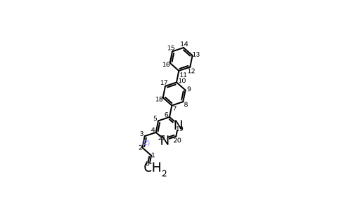 C=C/C=C\c1cc(-c2ccc(-c3ccccc3)cc2)ncn1